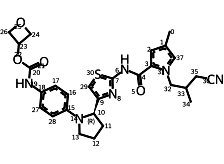 Cc1cc(C(=O)Nc2nc([C@H]3CCCN3c3ccc(NC(=O)OC4COC4)cc3)cs2)n(CC(C)CC#N)c1